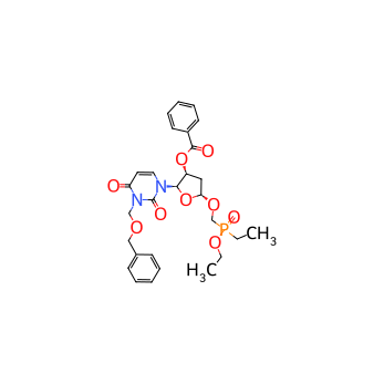 CCOP(=O)(CC)CO[C@@H]1C[C@H](OC(=O)c2ccccc2)[C@H](n2ccc(=O)n(COCc3ccccc3)c2=O)O1